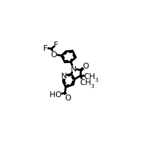 CC1(C)C(=O)N(c2cccc(OC(F)F)c2)c2ncc(C(=O)O)cc21